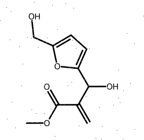 C=C(C(=O)OC)C(O)c1ccc(CO)o1